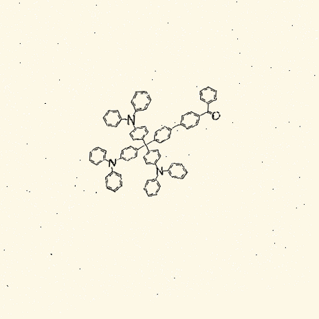 O=C(c1ccccc1)c1ccc(-c2ccc(C(c3ccc(N(c4ccccc4)c4ccccc4)cc3)(c3ccc(N(c4ccccc4)c4ccccc4)cc3)c3ccc(N(c4ccccc4)c4ccccc4)cc3)cc2)cc1